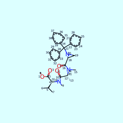 COC(=O)[C@H](C(C)C)N(C)C(=O)[C@@H](C)N(C)C(=O)C1CN1C(c1ccccc1)(c1ccccc1)c1ccccc1